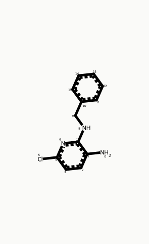 Nc1ccc(Cl)nc1NCc1ccccc1